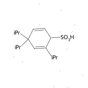 CC(C)C1=CC(C(C)C)(C(C)C)C=CC1S(=O)(=O)O